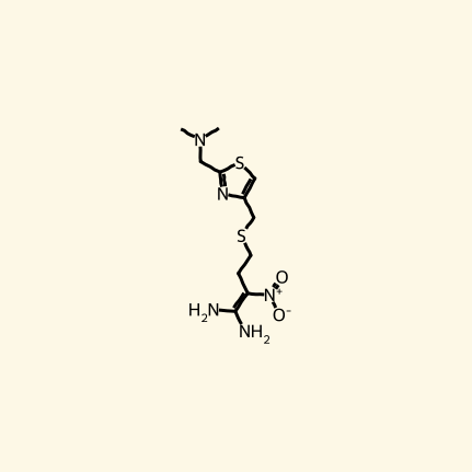 CN(C)Cc1nc(CSCCC(=C(N)N)[N+](=O)[O-])cs1